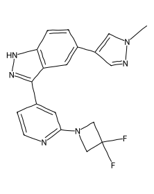 Cn1cc(-c2ccc3[nH]nc(-c4ccnc(N5CC(F)(F)C5)c4)c3c2)cn1